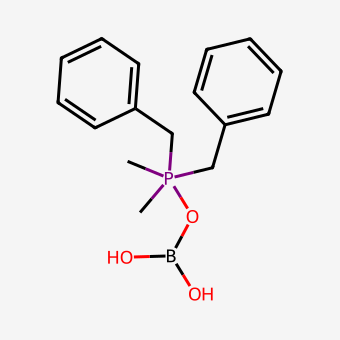 CP(C)(Cc1ccccc1)(Cc1ccccc1)OB(O)O